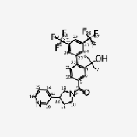 CC(C)(O)c1cc(C(=O)N2CCC(c3cccnc3)C2)ccc1-c1cc(C(F)(F)F)cc(C(F)(F)F)c1